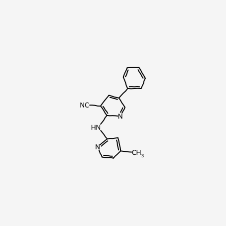 Cc1ccnc(Nc2ncc(-c3ccccc3)cc2C#N)c1